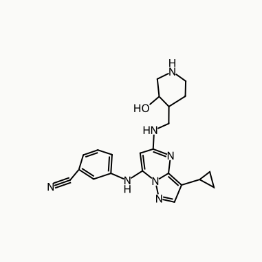 N#Cc1cccc(Nc2cc(NCC3CCNCC3O)nc3c(C4CC4)cnn23)c1